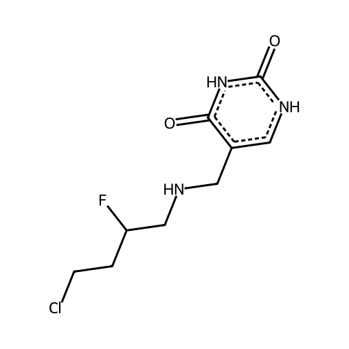 O=c1[nH]cc(CNCC(F)CCCl)c(=O)[nH]1